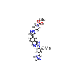 COc1cc(-c2cnc(C)n2C)ccc1Nc1cc2cc(-c3cnn(C4CCN(C(=O)OC(C)(C)C)CC4)c3)ccc2cn1